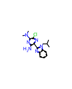 CC(C)Cn1c(-c2nc(Cl)c(N(C)C)nc2N)nc2ccccc21